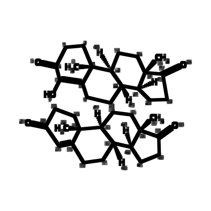 C[C@]12CCC(=O)C(O)=C1CC[C@@H]1[C@@H]2CC[C@]2(C)C(=O)CC[C@@H]12.C[C@]12CCC(=O)C=C1CC[C@@H]1[C@@H]2CC[C@]2(C)C(=O)CC[C@@H]12